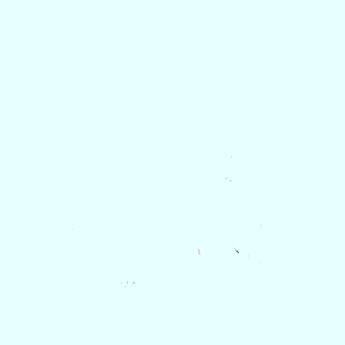 COc1ccc([C@@H]2CN(C(=O)COCc3ccccc3)C[C@@]2(C)[C@@H](C)O)cc1OCC1C2CCCCC21